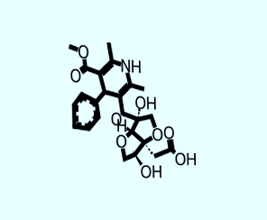 COC(=O)C1=C(C)NC(C)=C(C(=O)[C@@]2(O)CO[C@@]3(CC(=O)O)[C@@H](O)CO[C@@H]32)C1c1ccccc1